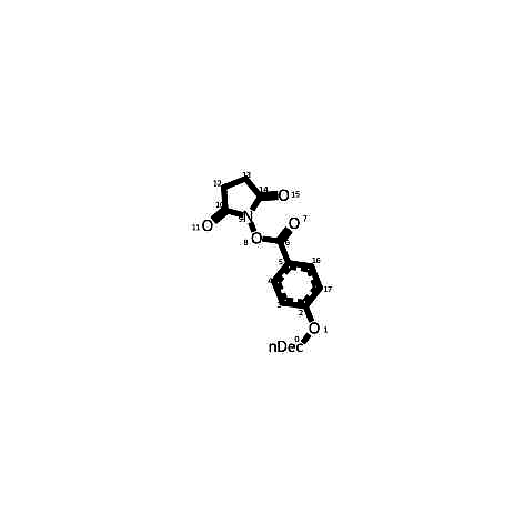 CCCCCCCCCCOc1ccc(C(=O)ON2C(=O)CCC2=O)cc1